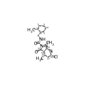 Cc1ccccc1CNC(=O)n1c(=O)c2c(C)cc(Cl)nc2n1C